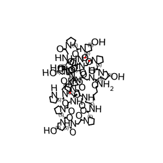 NCCCC[C@H](NC(=O)[C@@H]1CCCN1C(=O)CNC(=O)[C@@H]1C[C@@H](O)CN1C(=O)[C@@H]1CCCN1C(=O)CNC(=O)[C@@H]1C[C@@H](O)CN1C(=O)[C@@H]1CCCN1)C(=O)NCC(=O)N1CCC[C@H]1C(=O)N1C[C@H](O)C[C@H]1C(=O)NCC(=O)N1CCC[C@H]1C(=O)N1C[C@H](O)C[C@H]1C(=O)NCC(=O)N1CCC[C@H]1C(=O)N1C[C@H](O)C[C@H]1C(=O)NCC(=O)N1CCC[C@H]1C(=O)N1C[C@H](O)C[C@H]1C(=O)NCC(=O)O